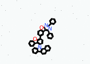 c1ccc(-c2nc(-c3ccccc3)c3c(n2)oc2ccc(-c4ccc(-n5c6ccccc6c6ccc7ccccc7c65)c5c4oc4ccccc45)cc23)cc1